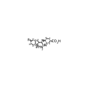 CC(C)N(C)c1nc2cc(C(=O)O)ccc2nc1-c1cc2cc(F)ccc2s1